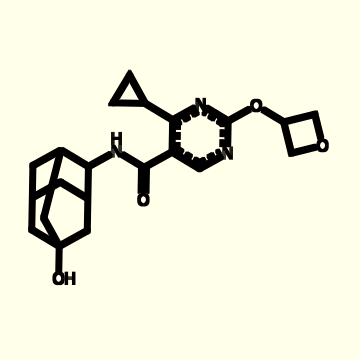 O=C(NC1C2CC3CC1CC(O)(C3)C2)c1cnc(OC2COC2)nc1C1CC1